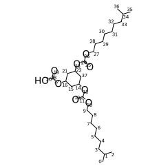 CC(C)CCCCCCCOC(=O)OC1CC(OC(=O)O)CC(OC(=O)OCCCCCCCC(C)C)C1